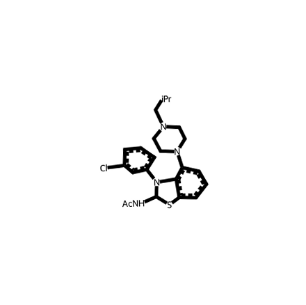 CC(=O)NC1Sc2cccc(N3CCN(CC(C)C)CC3)c2N1c1cccc(Cl)c1